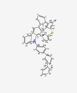 C1=CCC2C(=C1)c1cc3c4ccccc4n(-c4ccc(-c5ccc6oc7ccccc7c6c5)cc4)c3cc1C21c2ccccc2Sc2ccccc21